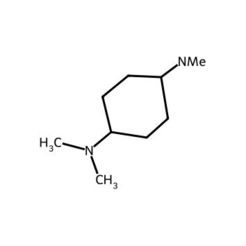 CNC1CCC(N(C)C)CC1